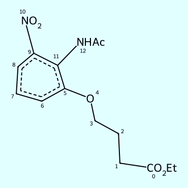 CCOC(=O)CCCOc1cccc([N+](=O)[O-])c1NC(C)=O